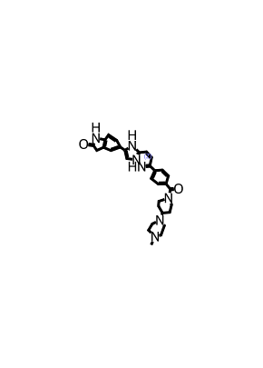 CN1CCN(C2CCN(C(=O)c3ccc(C(=N)/C=C\c4ncc(-c5ccc6c(c5)CC(=O)N6)[nH]4)cc3)CC2)CC1